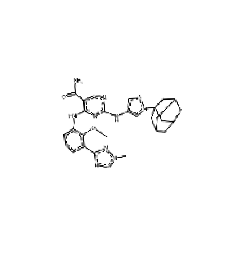 COc1c(Nc2nc(Nc3cnn(C45CC6CC(CC(C6)C4)C5)c3)ncc2C(N)=O)cccc1-c1ncn(C)n1